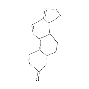 O=C1CCC2=C3C=CC4=CCCC4C3CCC2C1